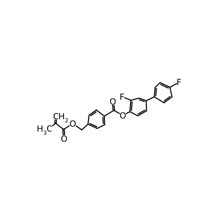 C=C(C)C(=O)OCc1ccc(C(=O)Oc2ccc(-c3ccc(F)cc3)cc2F)cc1